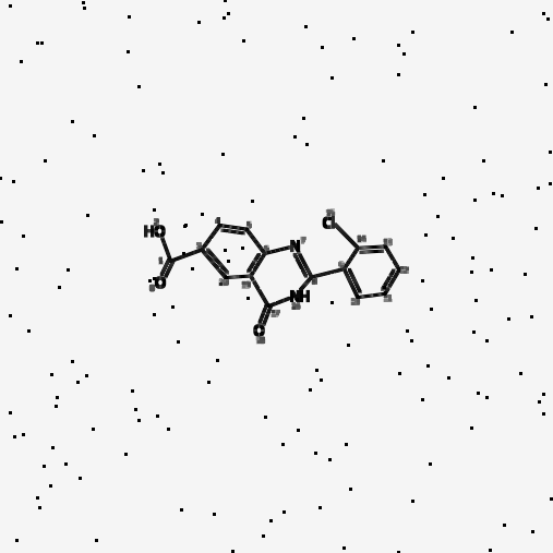 O=C(O)c1ccc2nc(-c3ccccc3Cl)[nH]c(=O)c2c1